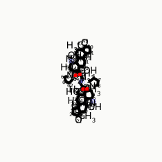 CC1(C)C(N2CCCC2)C/C(=N/O)[C@]2(C)[C@@H]3CC[C@]4(C)C(=O)CC[C@H]4[C@@H]3CC(O)C12OC(=O)/C=C/C(=O)OC12C(O)C[C@@H]3[C@@H](CC[C@]4(C)C(=O)CC[C@@H]34)[C@@]1(C)/C(=N\O)CC(N1CCCC1)C2(C)C